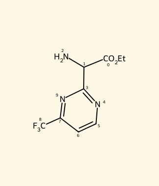 CCOC(=O)C(N)c1nccc(C(F)(F)F)n1